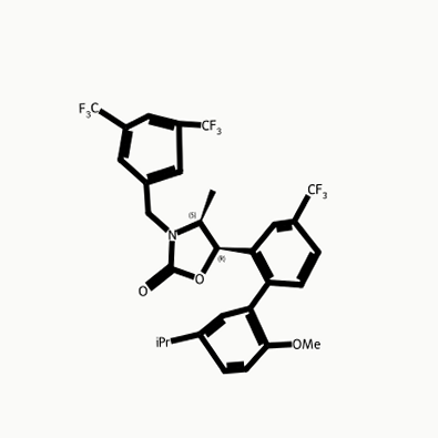 COc1ccc(C(C)C)cc1-c1ccc(C(F)(F)F)cc1[C@H]1OC(=O)N(Cc2cc(C(F)(F)F)cc(C(F)(F)F)c2)[C@H]1C